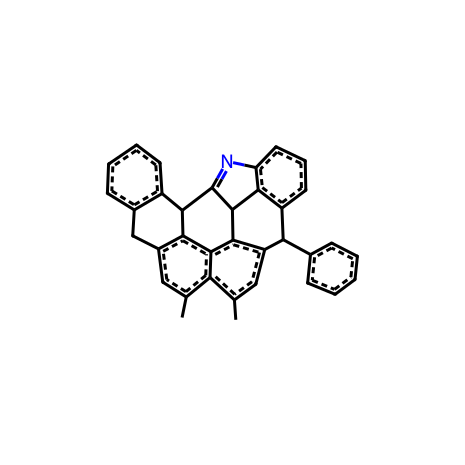 Cc1cc2c3c4c5c(cc(C)c14)C(c1ccccc1)c1cccc4c1C5C(=N4)C3c1ccccc1C2